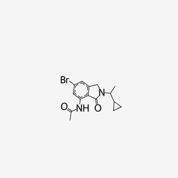 CC(=O)Nc1cc(Br)cc2c1C(=O)N(C(C)C1CC1)C2